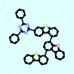 c1ccc(-c2nc(-c3ccccc3)nc(-c3ccc4c(c3)sc3cccc(-c5ccc(-c6cccc7c6sc6ccccc67)c6c5oc5ccccc56)c34)n2)cc1